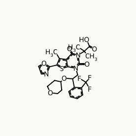 Cc1c(-c2ncco2)sc2c1c(=O)n(C(C)(C)C(=O)O)c(=O)n2CC(OC1CCOCC1)c1ccccc1C(F)(F)F